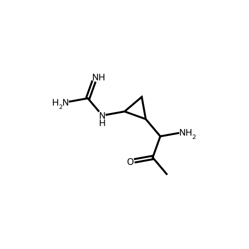 CC(=O)C(N)C1CC1NC(=N)N